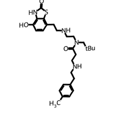 Cc1ccc(CCNCCC(=O)N(CCNCCc2ccc(O)c3[nH]c(=O)sc23)CC(C)(C)C)cc1